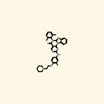 Cc1cccc(C)c1-n1c(=O)c2cnc(Nc3ccc(OCCN4CCCCC4)c(F)c3)nc2n2c3ccccc3nc12